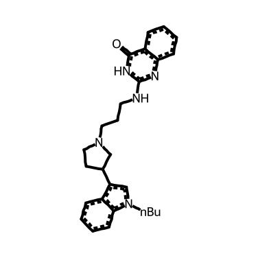 CCCCn1cc(C2CCN(CCCNc3nc4ccccc4c(=O)[nH]3)C2)c2ccccc21